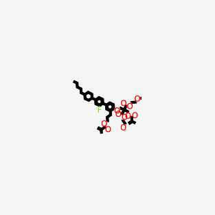 C=C(C)C(=O)OCCCc1cc(-c2ccc(C3CCC(CCCCC)CC3)cc2F)ccc1OCC(COC(=O)C(=C)C)(C(=O)OCCOC)C(=O)OCCOC